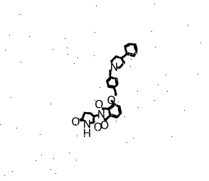 O=C1CCC(N2C(=O)c3cccc(OCc4ccc(CN5CCC(c6ccccc6)CC5)cc4)c3C2=O)C(=O)N1